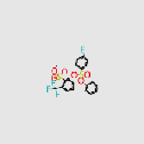 COS(=O)(=O)c1ccccc1C(F)(F)F.O=S(=O)(Oc1ccccc1)c1ccc(F)cc1